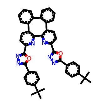 CC(C)(C)c1ccc(-c2nnc(-c3ccc4c(n3)-c3nc(-c5nnc(-c6ccc(C(C)(C)C)cc6)o5)ccc3-c3ccccc3-c3ccccc3-4)o2)cc1